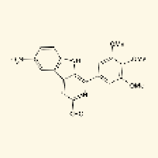 COc1cc(-c2nc(C=O)cc3c2[nH]c2ccc([N+](=O)[O-])cc23)cc(OC)c1OC